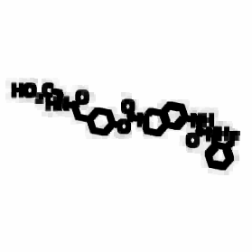 O=C(O)CNC(=O)CC1CCC(OC(=O)N2CCc3cc(NC(=O)Nc4ccccc4F)ccc3C2)CC1